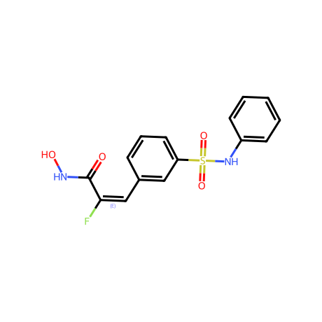 O=C(NO)/C(F)=C\c1cccc(S(=O)(=O)Nc2ccccc2)c1